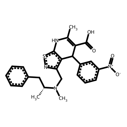 CC1=C(C(=O)O)C(c2cccc([N+](=O)[O-])c2)c2c(CN(C)[C@H](C)Cc3ccccc3)nsc2N1